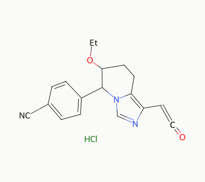 CCOC1CCc2c(C=C=O)ncn2C1c1ccc(C#N)cc1.Cl